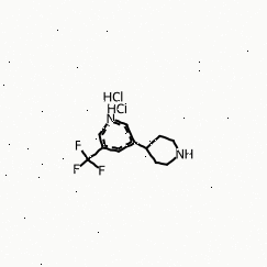 Cl.Cl.FC(F)(F)c1cncc(C2CCNCC2)c1